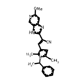 COc1cc2nc(/C(C#N)=C/c3cc(C)n(C(C)c4ccccc4)c3C)[nH]c2cn1